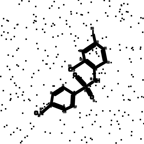 O=[N+]([O-])c1ccc(S(=O)(=O)Nc2ccc(I)cc2Cl)cc1